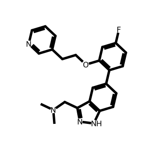 CN(C)Cc1n[nH]c2ccc(-c3ccc(F)cc3OCCc3cccnc3)cc12